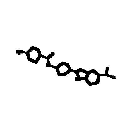 CCC(=O)c1ccc2[nH]c(-c3ccc(NC(=O)c4ccc(N)cc4)cc3)cc2c1